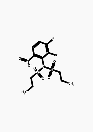 CCCS(=O)(=O)N(c1c([N+](=O)[O-])ccc(F)c1F)S(=O)(=O)CCC